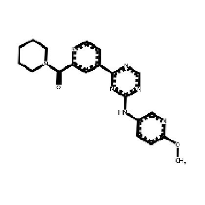 COc1ccc(Nc2ncnc(-c3ccnc(C(=O)N4CCCCC4)c3)n2)cn1